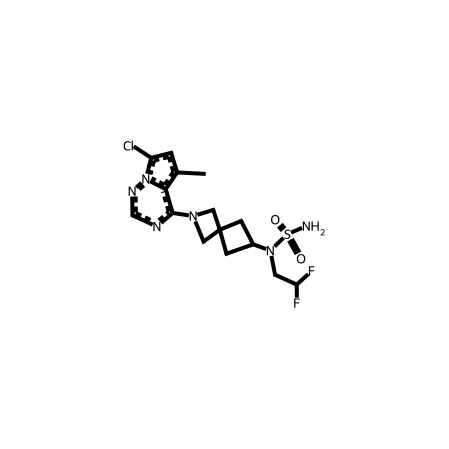 Cc1cc(Cl)n2ncnc(N3CC4(CC(N(CC(F)F)S(N)(=O)=O)C4)C3)c12